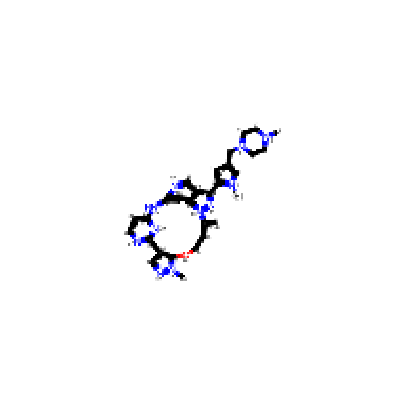 CCn1cc(CN2CCN(C)CC2)cc1-c1nn2c3cc(ncc13)Nc1ccnc(n1)-c1cnn(C)c1OCCC2C